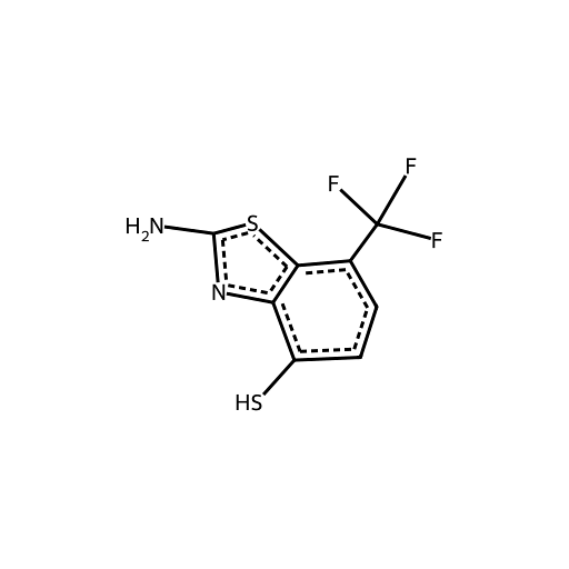 Nc1nc2c(S)ccc(C(F)(F)F)c2s1